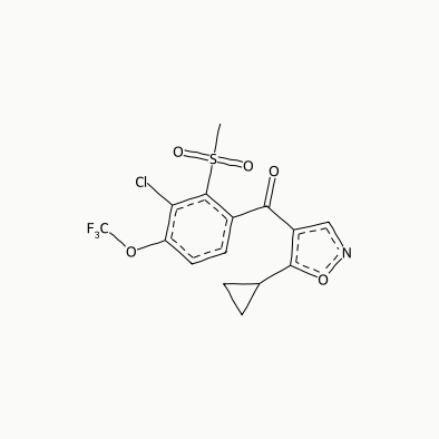 CS(=O)(=O)c1c(C(=O)c2cnoc2C2CC2)ccc(OC(F)(F)F)c1Cl